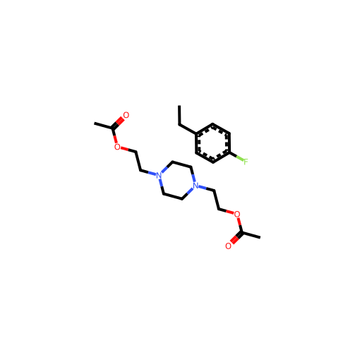 CC(=O)OCCN1CCN(CCOC(C)=O)CC1.CCc1ccc(F)cc1